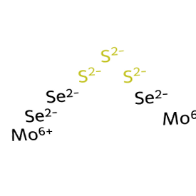 [Mo+6].[Mo+6].[S-2].[S-2].[S-2].[Se-2].[Se-2].[Se-2]